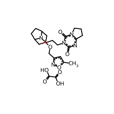 Cc1cc(COC2CC3CCC(C2)N3CCCn2c(=O)nc3n(c2=O)CCC3)no1.O=C(O)C(=O)O